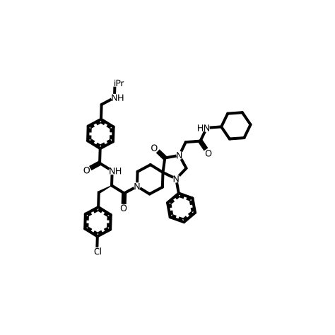 CC(C)NCc1ccc(C(=O)N[C@H](Cc2ccc(Cl)cc2)C(=O)N2CCC3(CC2)C(=O)N(CC(=O)NC2CCCCC2)CN3c2ccccc2)cc1